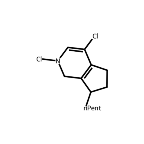 CCCCCC1CCC2=C1CN(Cl)C=C2Cl